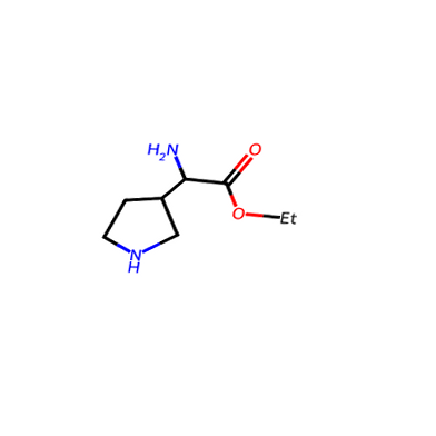 CCOC(=O)C(N)C1CCNC1